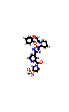 CS(=O)(=O)C1CCN(C(=O)c2cc(-c3noc(C4CCCCN4[C@@H](C=O)Oc4ccccc4)n3)ccn2)C1